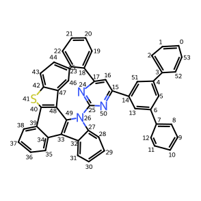 c1ccc(-c2cc(-c3ccccc3)cc(-c3cc(-c4ccccc4)nc(-n4c5ccccc5c5c6ccccc6c6sc7ccccc7c6c54)n3)c2)cc1